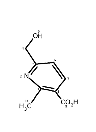 Cc1nc(CO)ccc1C(=O)O